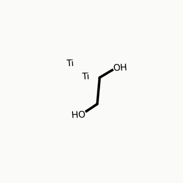 OCCO.[Ti].[Ti]